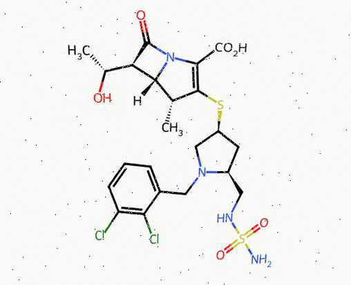 C[C@@H](O)[C@H]1C(=O)N2C(C(=O)O)=C(S[C@H]3C[C@@H](CNS(N)(=O)=O)N(Cc4cccc(Cl)c4Cl)C3)[C@H](C)[C@H]12